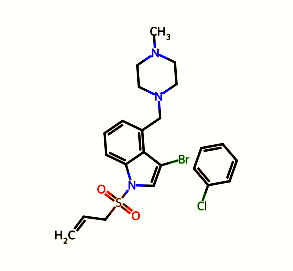 C=CCS(=O)(=O)n1cc(Br)c2c(CN3CCN(C)CC3)cccc21.Clc1ccccc1